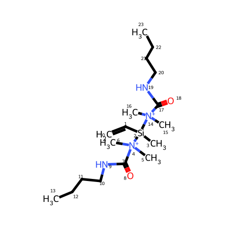 C=C[Si](C)([N+](C)(C)C(=O)NCCCC)[N+](C)(C)C(=O)NCCCC